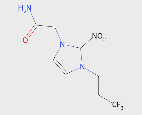 NC(=O)CN1C=CN(CCC(F)(F)F)C1[N+](=O)[O-]